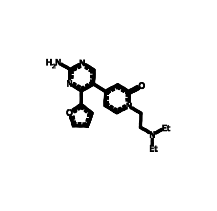 CCN(CC)CCn1ccc(-c2cnc(N)nc2-c2ccco2)cc1=O